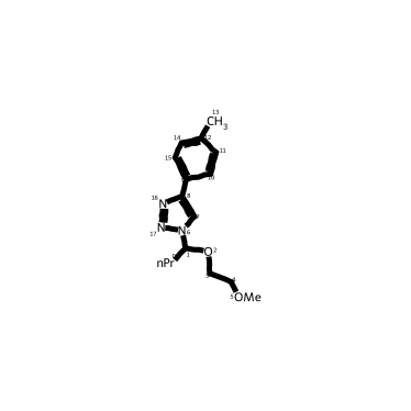 CCCC(OCCOC)n1cc(-c2ccc(C)cc2)nn1